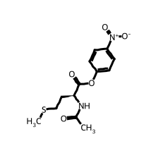 CSCC[C@H](NC(C)=O)C(=O)Oc1ccc([N+](=O)[O-])cc1